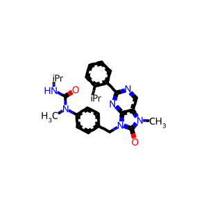 CC(C)NC(=O)N(C)c1ccc(Cn2c(=O)n(C)c3cnc(-c4ccccc4C(C)C)nc32)cc1